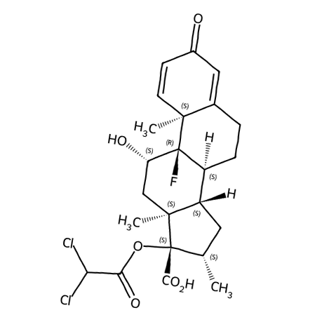 C[C@H]1C[C@H]2[C@@H]3CCC4=CC(=O)C=C[C@]4(C)[C@@]3(F)[C@@H](O)C[C@]2(C)[C@]1(OC(=O)C(Cl)Cl)C(=O)O